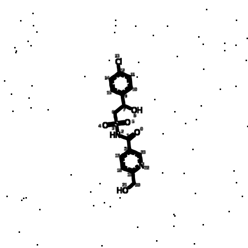 O=C(NS(=O)(=O)CC(O)c1ccc(Cl)cc1)c1ccc(CO)nc1